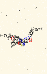 CCCCCc1ccc(CNC(=O)c2ccc(C3(CN(Cc4ccc(OCC(=O)O)cc4)C(=O)C=Cc4ccccc4)CSC=N3)cc2)cc1